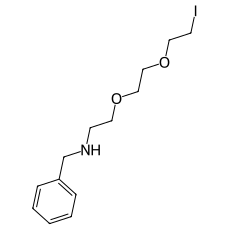 ICCOCCOCCNCc1ccccc1